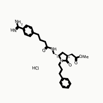 COC(=O)C[C@@H]1C[C@@H](CNC(=O)CCCc2ccc(C(=N)N)cc2)N(CCCc2ccccc2)C1=O.Cl